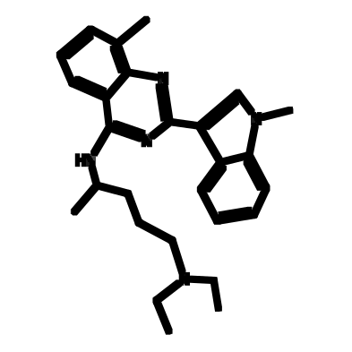 CCN(CC)CCCC(C)Nc1nc(-c2cn(C)c3ccccc23)nc2c(C)cccc12